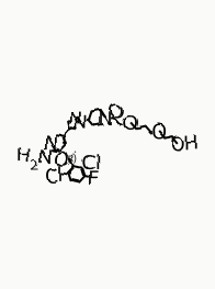 C[C@@H](Oc1cc(-c2cnn(C3CCN(C(=O)COCCCOCCO)CC3)c2)cnc1N)c1c(Cl)ccc(F)c1Cl